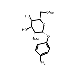 COC[C@H]1O[C@H](Oc2ccc(N)cc2)[C@H](OC)[C@@H](O)[C@H]1O